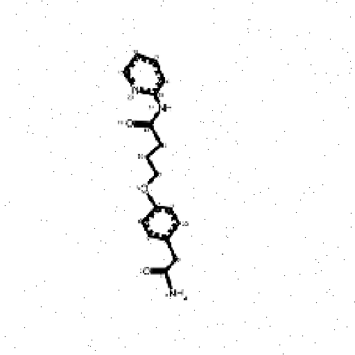 NC(=O)Cc1ccc(OCCCC(=O)Nc2ccccn2)cc1